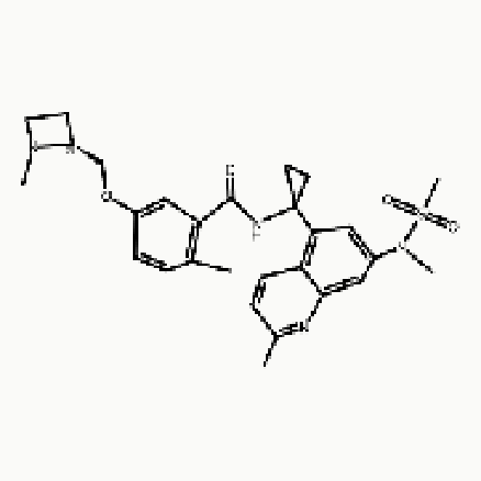 Cc1ccc2c(C3(NC(=O)c4cc(OC[C@@H]5CCN5C)ccc4C)CC3)cc(N(C)S(C)(=O)=O)cc2n1